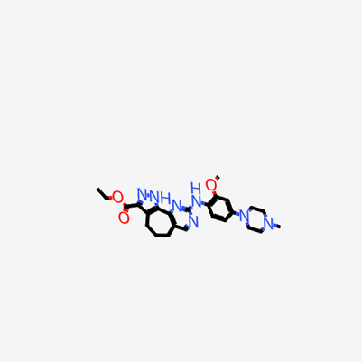 CCOC(=O)c1n[nH]c2c1CCCc1cnc(Nc3ccc(N4CCN(C)CC4)cc3OC)nc1-2